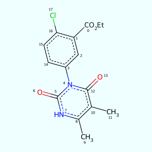 CCOC(=O)c1cc(-n2c(=O)[nH]c(C)c(C)c2=O)ccc1Cl